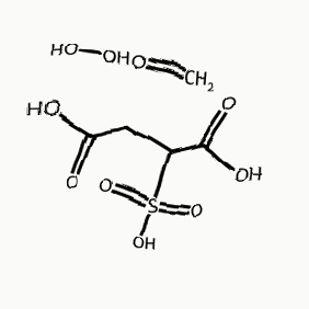 C=O.O=C(O)CC(C(=O)O)S(=O)(=O)O.OO